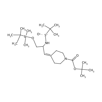 CC(C)(C)OC(=O)N1CCC(=CC(CO[Si](C)(C)C(C)(C)C)N[S@+]([O-])C(C)(C)C)CC1